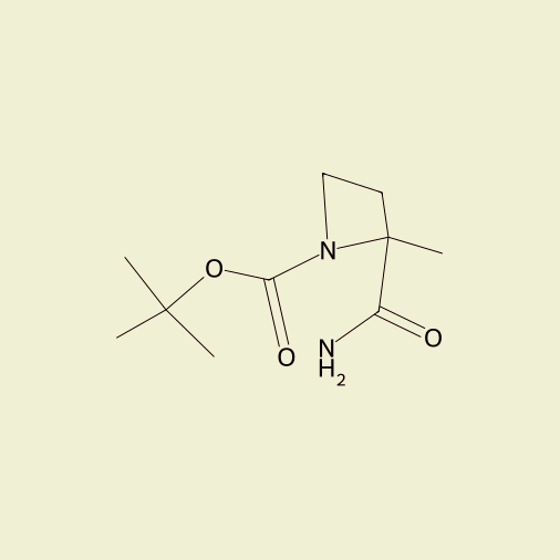 CC(C)(C)OC(=O)N1CCC1(C)C(N)=O